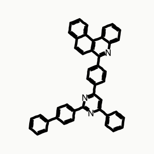 c1ccc(-c2ccc(-c3nc(-c4ccccc4)cc(-c4ccc(-c5nc6ccccc6c6c5ccc5ccccc56)cc4)n3)cc2)cc1